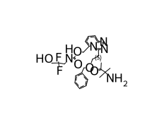 CC(C)(N)C(=O)C[C@H](COCc1ccccc1)c1nnc2cccc(COC(=O)NCC(F)(F)CO)n12